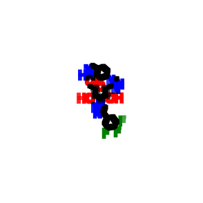 OC[C@H]1O[C@@H](c2nncn2-c2ccc3cn[nH]c3c2)[C@H](O)[C@@H](n2cc(-c3cc(F)c(F)c(F)c3)nn2)[C@H]1O